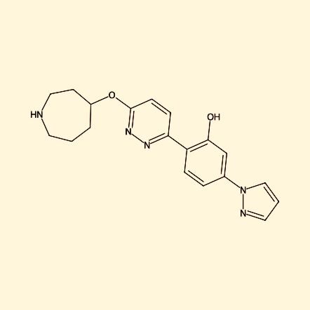 Oc1cc(-n2cccn2)ccc1-c1ccc(OC2CCCNCC2)nn1